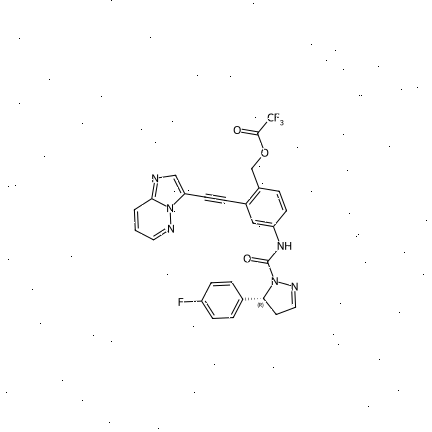 O=C(Nc1ccc(COC(=O)C(F)(F)F)c(C#Cc2cnc3cccnn23)c1)N1N=CC[C@@H]1c1ccc(F)cc1